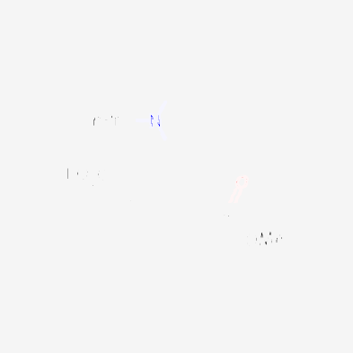 CCCN1CCCCC1.COC(=O)c1cccc(C(=O)O)c1